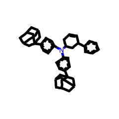 C1=CC(c2ccccc2)CC(N(c2ccc(C34CC5CC(CC(C5)C3)C4)cc2)c2ccc(C34CC5CC(CC(C5)C3)C4)cc2)C1